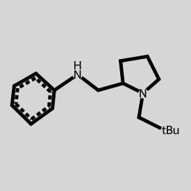 CC(C)(C)CN1CCCC1CNc1ccccc1